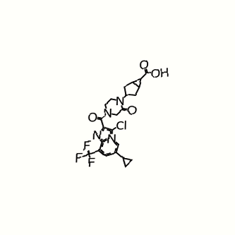 O=C(O)C1C2CC(N3CCN(C(=O)c4nc5c(C(F)(F)F)cc(C6CC6)cn5c4Cl)CC3=O)CC21